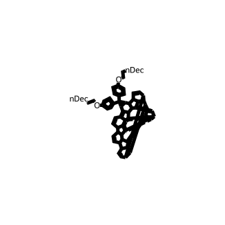 CCCCCCCCCCCCOc1ccc(C2(c3ccc(OCCCCCCCCCCCC)cc3)C3=C2C2C4C=CC5C6C=CC7C8C=CC9C%10C=CC%11=C3C3c%12c%13c%14c(c%10c%12%11)C9C8C8=C%14C9=C(C6C87)C5C4C(=C9%13)C32)cc1